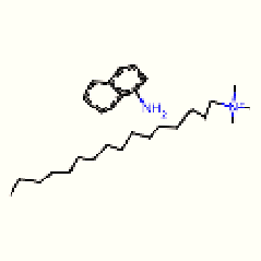 CCCCCCCCCCCCCCCC[N+](C)(C)C.Nc1cccc2ccccc12